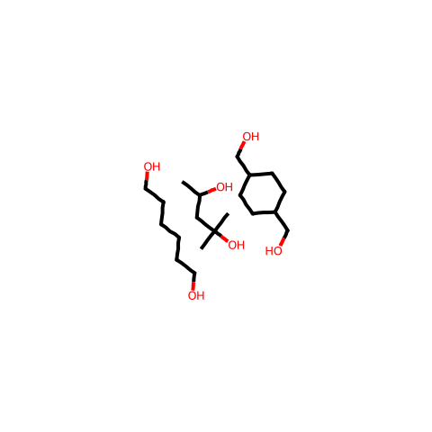 CC(O)CC(C)(C)O.OCC1CCC(CO)CC1.OCCCCCCO